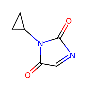 O=C1C=NC(=O)N1C1CC1